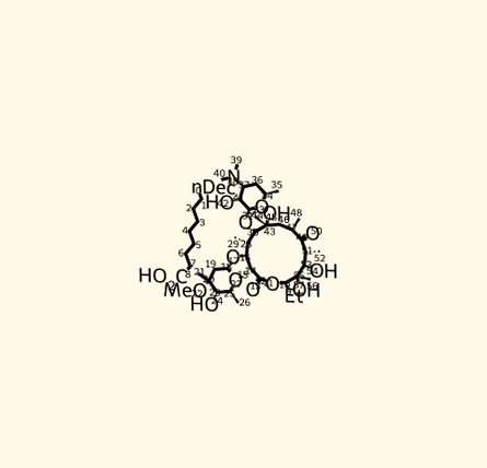 CCCCCCCCCCCCCCCCCC(=O)O.CC[C@H]1OC(=O)[C@H](C)[C@@H](O[C@H]2C[C@@](C)(OC)[C@@H](O)[C@H](C)O2)[C@H](C)[C@@H](O[C@@H]2O[C@H](C)C[C@H](N(C)C)[C@H]2O)[C@](C)(O)C[C@@H](C)C(=O)[C@H](C)[C@@H](O)[C@]1(C)O